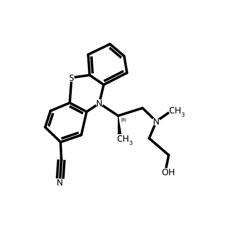 C[C@H](CN(C)CCO)N1c2ccccc2Sc2ccc(C#N)cc21